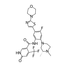 C[C@@H]1CN(c2cc(F)c(-c3cnc(N4CCOCC4)s3)cc2NC(=O)c2c[nH]c(=O)cc2C(F)(F)F)CCN1C